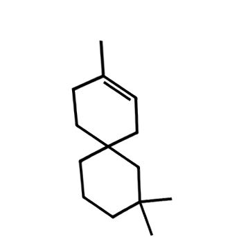 CC1=CCC2(CCCC(C)(C)C2)CC1